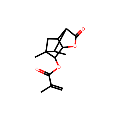 C=C(C)C(=O)OC1C2OC(=O)C3C2CC1(C)C3C